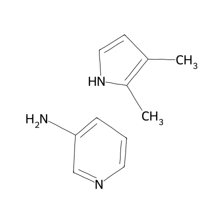 Cc1cc[nH]c1C.Nc1cccnc1